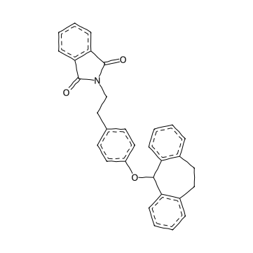 O=C1c2ccccc2C(=O)N1CCc1ccc(OC2c3ccccc3CCc3ccccc32)cc1